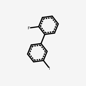 Fc1ccccc1-c1cccc(I)c1